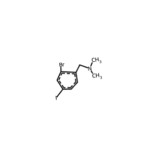 CN(C)Cc1ccc(I)cc1Br